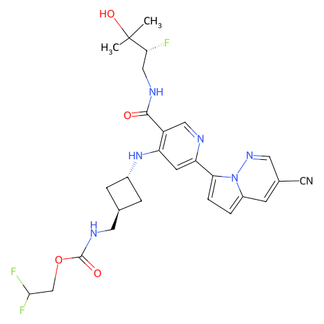 CC(C)(O)[C@H](F)CNC(=O)c1cnc(-c2ccc3cc(C#N)cnn23)cc1N[C@H]1C[C@H](CNC(=O)OCC(F)F)C1